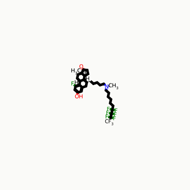 CN(CCCCCCC(F)(F)C(F)(F)C(F)(F)C(F)(F)F)CCCCC[C@@H]1Cc2cc(O)cc(F)c2[C@H]2CC[C@]3(C)C(=O)CC[C@H]3[C@H]12